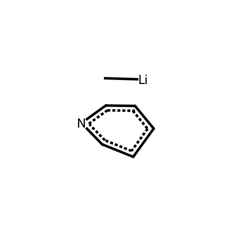 [Li][CH3].c1ccncc1